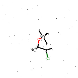 CC(Cl)C(C#N)O[Si](C)(C)C